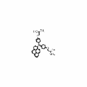 CC(O)COc1ccc(N(c2ccc(OCC(C)O)cc2)c2ccc3ccc4cccc5ccc2c3c45)cc1